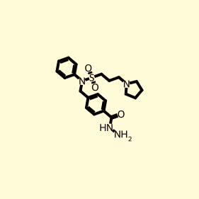 NNC(=O)c1ccc(CN(c2ccccc2)S(=O)(=O)CCCN2CCCC2)cc1